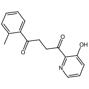 Cc1ccccc1C(=O)CCC(=O)c1ncccc1O